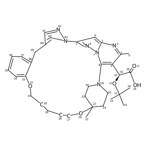 Cc1nc2cc3nn2c(c1[C@H](OC(C)(C)C)C(=O)O)N1CCC(C)(CC1)OCCCCCOc1ccccc1Cc1cnn-3c1